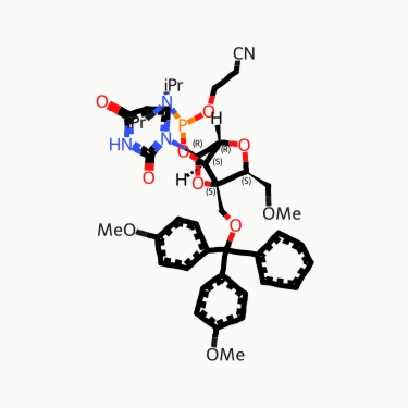 COC[C@@H]1O[C@H]2[C@H](n3ccc(=O)[nH]c3=O)O[C@]1(COC(c1ccccc1)(c1ccc(OC)cc1)c1ccc(OC)cc1)[C@H]2OP(OCCC#N)N(C(C)C)C(C)C